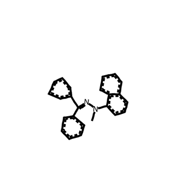 CN(N=C(c1ccccc1)c1ccccc1)c1cccc2ccccc12